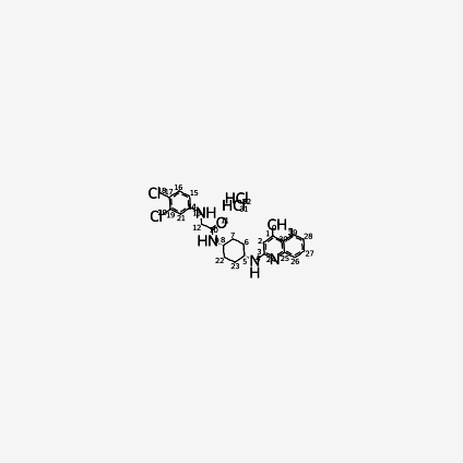 Cc1cc(N[C@H]2CC[C@@H](NC(=O)CNc3ccc(Cl)c(Cl)c3)CC2)nc2ccccc12.Cl.Cl